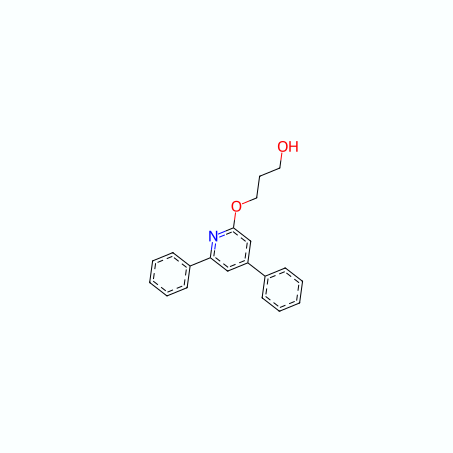 OCCCOc1cc(-c2ccccc2)cc(-c2ccccc2)n1